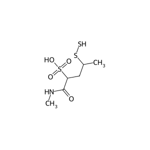 CNC(=O)C(CC(C)SS)S(=O)(=O)O